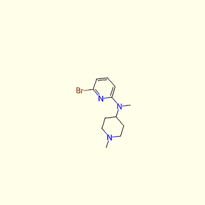 CN1CCC(N(C)c2cccc(Br)n2)CC1